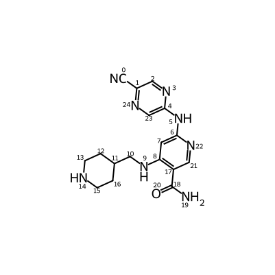 N#Cc1cnc(Nc2cc(NCC3CCNCC3)c(C(N)=O)cn2)cn1